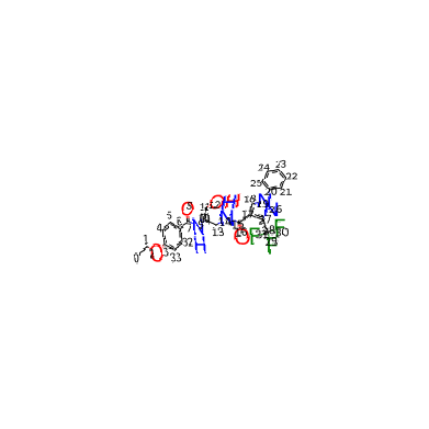 CCOc1ccc(C(=O)N[C@@H](CO)CNC(=O)c2cn(-c3ccccc3)nc2C(F)(F)F)cc1